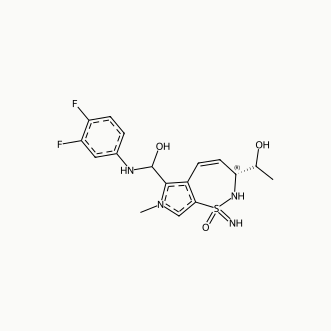 CC(O)[C@H]1C=Cc2c(cn(C)c2C(O)Nc2ccc(F)c(F)c2)S(=N)(=O)N1